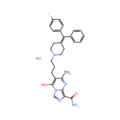 Cc1nc2c(C(N)=O)ncn2c(O)c1CCCN1CCC(=C(c2ccccc2)c2ccc(F)cc2)CC1.Cl